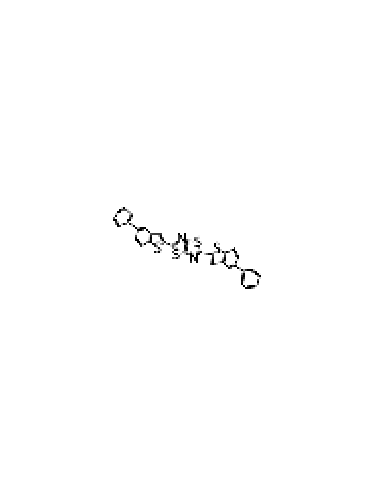 c1ccc(-c2ccc3sc(-c4nc5sc(-c6cc7cc(-c8ccccc8)ccc7s6)nc5s4)cc3c2)cc1